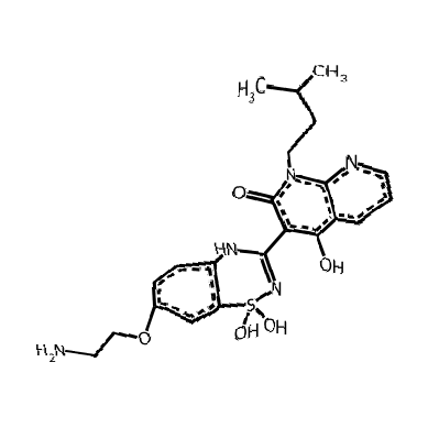 CC(C)CCn1c(=O)c(C2=NS(O)(O)c3cc(OCCN)ccc3N2)c(O)c2cccnc21